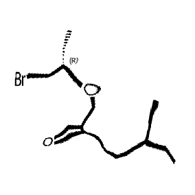 CC(C)CC(=O)O[C@@H](C)Br